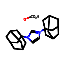 O=C([O-])O.c1c[n+](C23CC4CC(CC(C4)C2)C3)cn1C12CC3CC(CC(C3)C1)C2